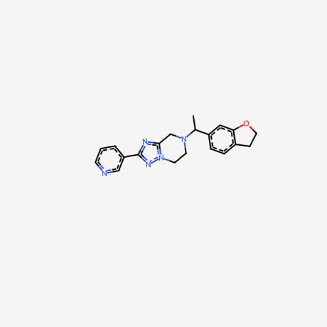 CC(c1ccc2c(c1)OCC2)N1CCn2nc(-c3cccnc3)nc2C1